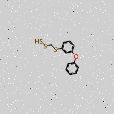 SSCSc1cccc(Oc2ccccc2)c1